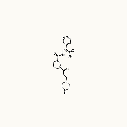 O=C(NC[C@@H](C(=O)O)c1cccnc1)[C@@H]1CCCN(C(=O)CCC2CCNCC2)C1